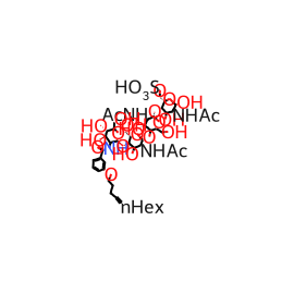 CCCCCCC#CCCCOc1cccc(C(=O)NC2[C@H](O[C@H]3C(O)C(NC(C)=O)C(OC4C(CO)O[C@@H](O[C@H]5C(O)C(NC(C)=O)C(O)O[C@H]5COS(=O)(=O)O)[C@@H](NC(C)=O)[C@H]4O)O[C@H]3CO)OC(CO)[C@@H](O)[C@@H]2O)c1